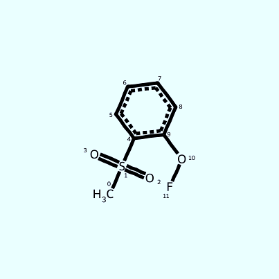 CS(=O)(=O)c1ccccc1OF